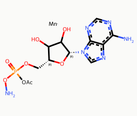 CC(=O)OP(=O)(ON)OC[C@H]1O[C@@H](n2cnc3c(N)ncnc32)C(O)C1O.[Mn]